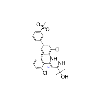 CC(C)(O)C(=N)/C=C(\Nc1ccc(-c2cccc(S(C)(=O)=O)c2)cc1Cl)c1c(F)cccc1Cl